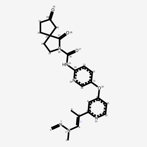 C=NN(C)/C=C(\C)c1cc(Oc2ccc(NC(=O)N3CCC4(CCC(=O)C4)C3=O)nc2)ccn1